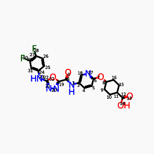 O=C(Nc1ccc(OC2CCC(C(=O)O)CC2)nc1)c1nnc(Nc2ccc(F)c(F)c2)o1